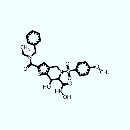 CCN(Cc1ccccc1)C(=O)c1cc2c(s1)C(O)C(C(=O)NO)N(S(=O)(=O)c1ccc(OC)cc1)C2